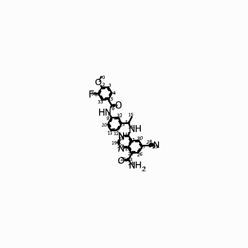 COc1ccc(C(=O)Nc2cccc(C(C)Nc3ncnc4c(C(N)=O)cc(C#N)cc34)c2)cc1F